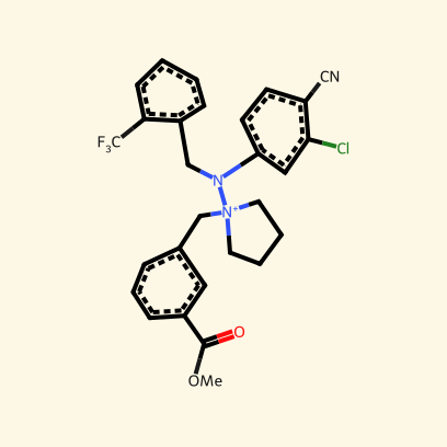 COC(=O)c1cccc(C[N+]2(N(Cc3ccccc3C(F)(F)F)c3ccc(C#N)c(Cl)c3)CCCC2)c1